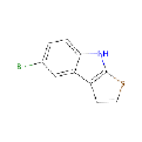 Brc1ccc2[nH]c3sccc3c2c1